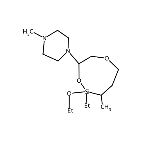 CCO[Si]1(CC)OC(N2CCN(C)CC2)COCCC1C